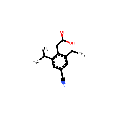 CCc1cc(C#N)cc(C(C)C)c1CC(O)O